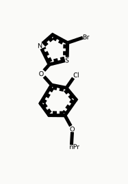 CCCOc1ccc(Oc2ncc(Br)s2)c(Cl)c1